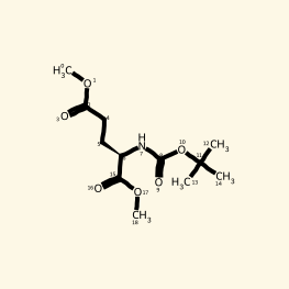 COC(=O)CC[C@@H](NC(=O)OC(C)(C)C)C(=O)OC